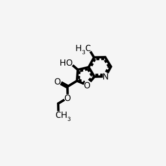 CCOC(=O)c1oc2nccc(C)c2c1O